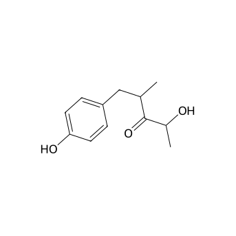 CC(O)C(=O)C(C)Cc1ccc(O)cc1